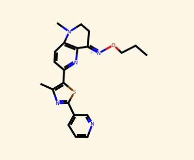 CCCO/N=C1\CCN(C)c2ccc(-c3sc(-c4cccnc4)nc3C)nc21